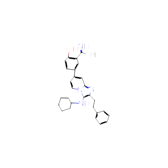 CC(=N)c1cc(-c2ccn3c(NC4CCCCC4)c(CCc4ccccc4)nc3c2)ccc1O